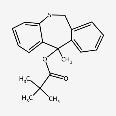 CC(C)(C)C(=O)OC1(C)c2ccccc2CSc2ccccc21